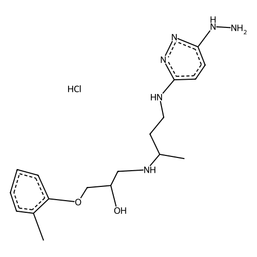 Cc1ccccc1OCC(O)CNC(C)CCNc1ccc(NN)nn1.Cl